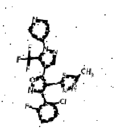 Cc1nnc(-c2c(-c3c(F)cccc3Cl)noc2-c2cnn(-c3ccncc3)c2C(F)(F)F)s1